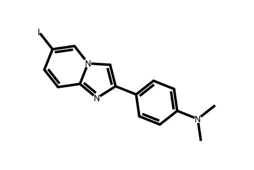 CN(C)c1ccc(-c2cn3cc(I)ccc3n2)cc1